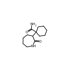 NC(=O)C1(C2CCCCNC2=O)CCCCC1